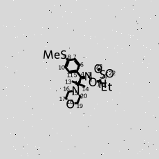 CCC(ON=C(c1ccc(SC)cc1)C(C)(C)N1CCOCC1)[SH](=O)=O